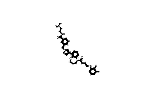 Cc1cccc(OCCCC(=O)N2CCCOc3c(-c4cnn(Cc5cccc(C(=O)NCCN(C)C)c5)c4)cccc32)c1C